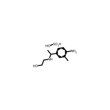 Cc1cc(C(C)NCCO)ccc1N.O=S(=O)(O)O